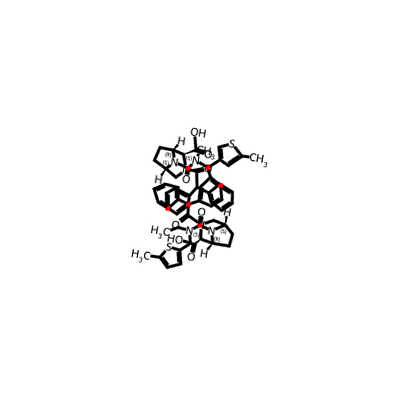 CCN(Cc1ccc(C)s1)C(=O)N1[C@H]2CC[C@@H]1[C@@H](C(=O)O)N(C(=O)C(c1ccccc1)c1cccc(C(c3csc(C)c3)N(C)C(=O)N3[C@H]4CC[C@@H]3[C@@H](C(=O)O)N(C(=O)C(c3ccccc3)c3ccccc3)C4)c1)C2